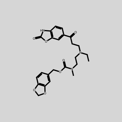 CCN(CCC(=O)c1ccc2[nH]c(=O)oc2c1)CCN(C)C(=O)OCc1ccc2c(c1)OCO2